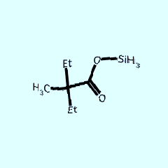 CCC(C)(CC)C(=O)O[SiH3]